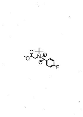 COC(=O)CN(C(C)(C)C)S(=O)(=O)c1ccc(F)cc1